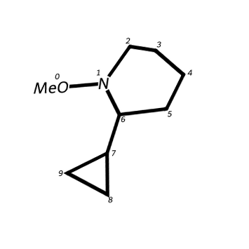 CON1CCCCC1C1CC1